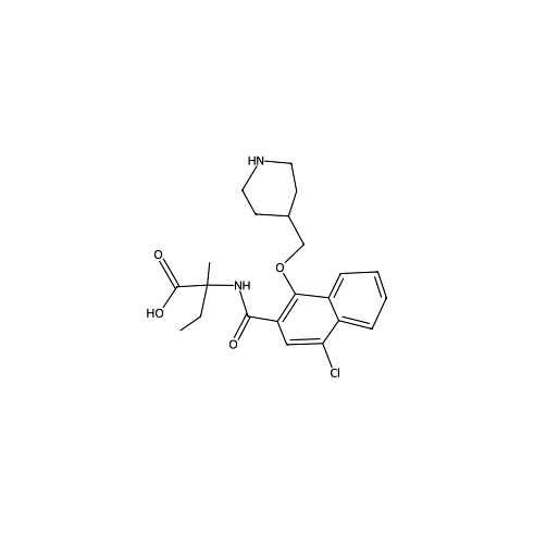 CCC(C)(NC(=O)c1cc(Cl)c2ccccc2c1OCC1CCNCC1)C(=O)O